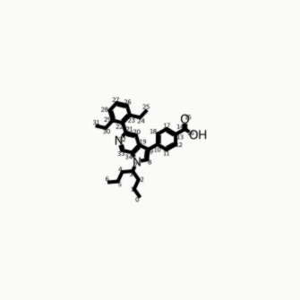 CCCC(CCC)n1cc(-c2ccc(C(=O)O)cc2)c2cc(-c3c(CC)cccc3CC)ncc21